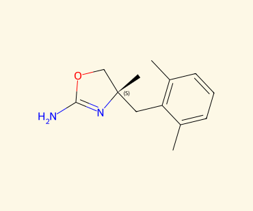 Cc1cccc(C)c1C[C@@]1(C)COC(N)=N1